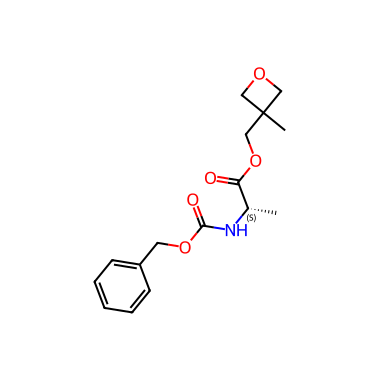 C[C@H](NC(=O)OCc1ccccc1)C(=O)OCC1(C)COC1